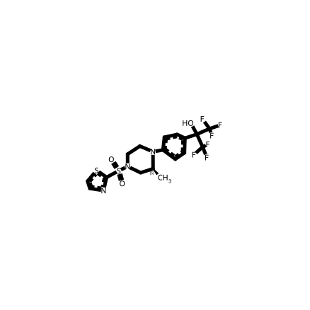 C[C@H]1CN(S(=O)(=O)c2nccs2)CCN1c1ccc(C(O)(C(F)(F)F)C(F)(F)F)cc1